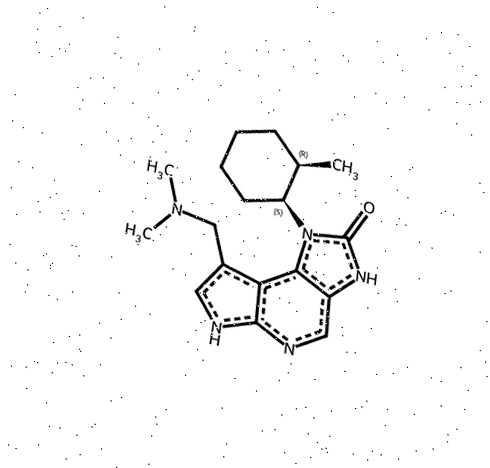 C[C@@H]1CCCC[C@@H]1n1c(=O)[nH]c2cnc3[nH]cc(CN(C)C)c3c21